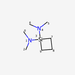 CN(C)[Si]1(N(C)C)CCC1